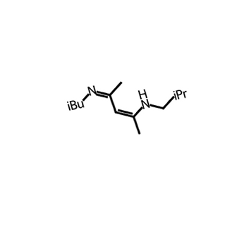 CCC(C)N=C(C)C=C(C)NCC(C)C